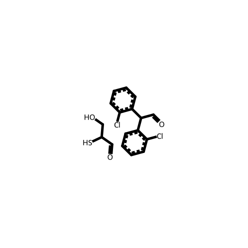 O=CC(S)CO.O=CC(c1ccccc1Cl)c1ccccc1Cl